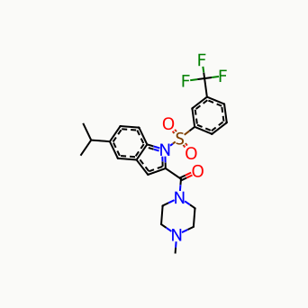 CC(C)c1ccc2c(c1)cc(C(=O)N1CCN(C)CC1)n2S(=O)(=O)c1cccc(C(F)(F)F)c1